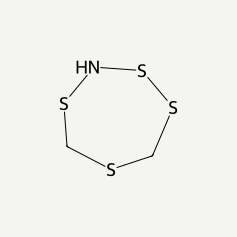 C1SCSSNS1